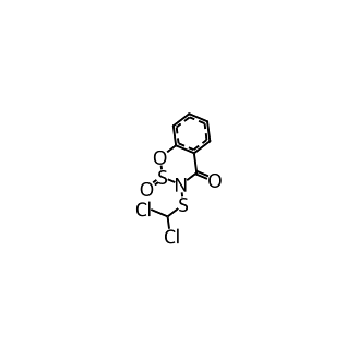 O=C1c2ccccc2OS(=O)N1SC(Cl)Cl